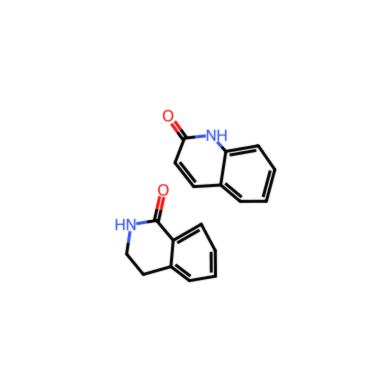 O=C1NCCc2ccccc21.O=c1ccc2ccccc2[nH]1